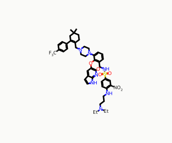 CCN(CC)CCCNc1ccc(S(=O)(=O)NC(=O)c2cccc(N3CCN(CC4=C(c5ccc(C(F)(F)F)cc5)CC(C)(C)CC4)CC3)c2Oc2cnc3[nH]ccc3c2)cc1[N+](=O)[O-]